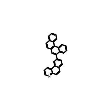 c1ccc2c(c1)ccc1cc(-c3ccc4ccc5ncccc5c4c3)c3ccccc3c12